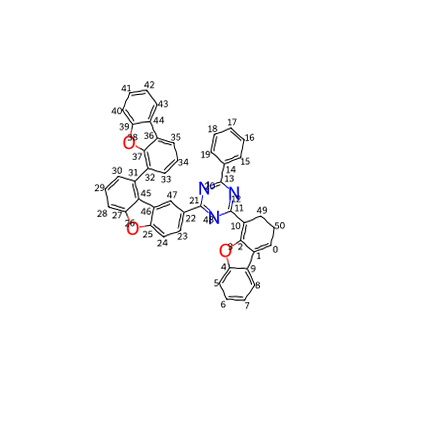 C1=c2c(oc3ccccc23)=C(c2nc(-c3ccccc3)nc(-c3ccc4oc5cccc(-c6cccc7c6oc6ccccc67)c5c4c3)n2)CC1